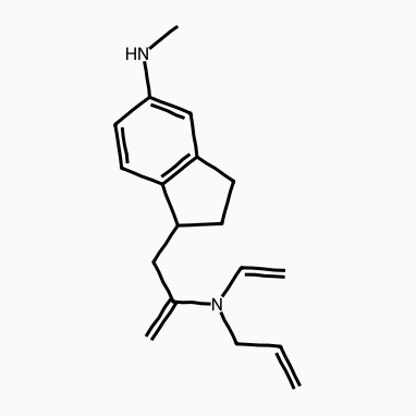 C=CCN(C=C)C(=C)CC1CCc2cc(NC)ccc21